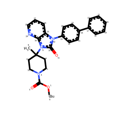 CC(C)(C)OC(=O)N1CCC(C)(n2c(=O)n(-c3ccc(-c4ccccc4)cc3)c3cccnc32)CC1